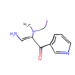 CN(CI)/C(=C\N)C(=O)c1cccnc1